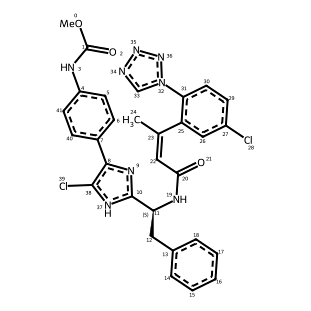 COC(=O)Nc1ccc(-c2nc([C@H](Cc3ccccc3)NC(=O)C=C(C)c3cc(Cl)ccc3-n3cnnn3)[nH]c2Cl)cc1